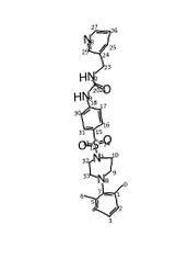 Cc1cccc(C)c1N1CCN(S(=O)(=O)c2ccc(NC(=O)NCc3cccnc3)cc2)CC1